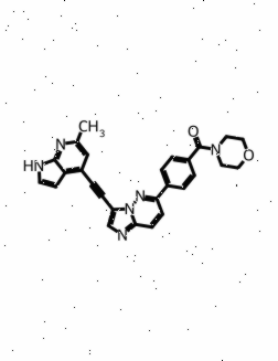 Cc1cc(C#Cc2cnc3ccc(-c4ccc(C(=O)N5CCOCC5)cc4)nn23)c2cc[nH]c2n1